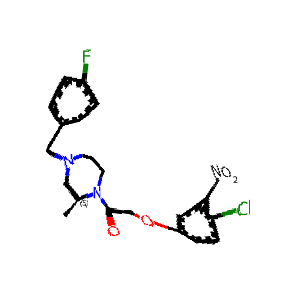 C[C@H]1CN(Cc2ccc(F)cc2)CCN1C(=O)COc1ccc(Cl)c([N+](=O)[O-])c1